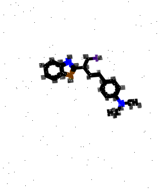 CN(C)c1ccc(C=CC(CI)c2nc3ccccc3s2)cc1